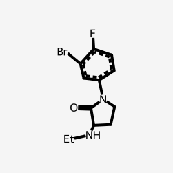 CCNC1CCN(c2ccc(F)c(Br)c2)C1=O